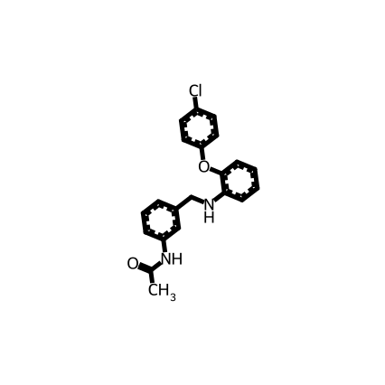 CC(=O)Nc1cccc(CNc2ccccc2Oc2ccc(Cl)cc2)c1